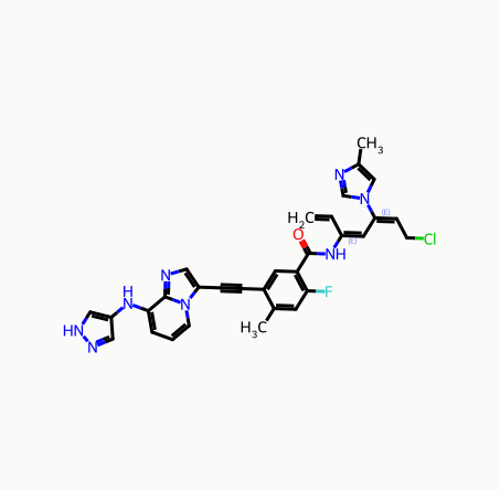 C=C/C(=C\C(=C/CCl)n1cnc(C)c1)NC(=O)c1cc(C#Cc2cnc3c(Nc4cn[nH]c4)cccn23)c(C)cc1F